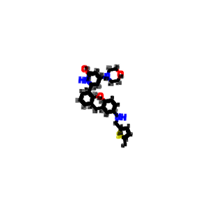 Cc1ccc(CNc2ccc3c(c2)Cc2cccc(-c4cc(N5CCOCC5)cc(=O)[nH]4)c2O3)s1